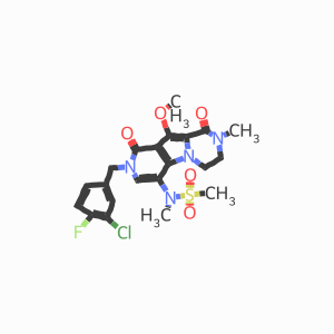 COc1c2n(c3c(N(C)S(C)(=O)=O)cn(Cc4ccc(F)c(Cl)c4)c(=O)c13)CCN(C)C2=O